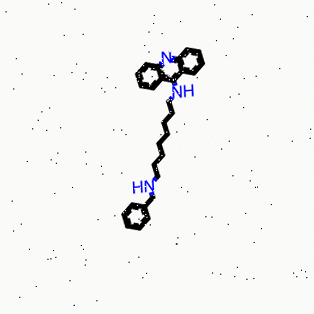 c1ccc(CNCCCCCCCCNc2c3ccccc3nc3ccccc23)cc1